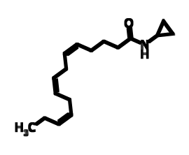 CC/C=C\C/C=C\C/C=C\CCCC(=O)NC1CC1